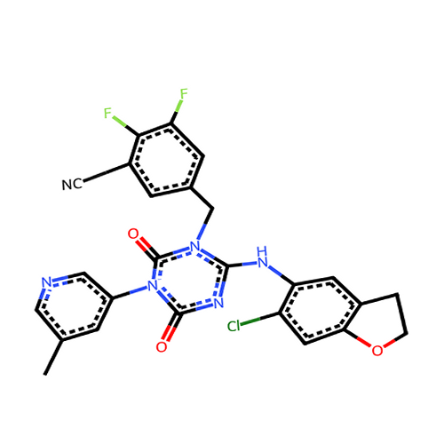 Cc1cncc(-n2c(=O)nc(Nc3cc4c(cc3Cl)OCC4)n(Cc3cc(F)c(F)c(C#N)c3)c2=O)c1